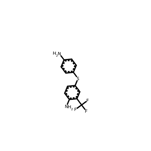 Nc1ccc(Sc2ccc(N)c(C(F)(F)F)c2)cc1